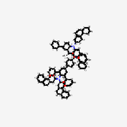 C/C=C(\C=C(/C)c1cc(-c2ccccc2)ccc1N(c1ccc2c(ccc3ccccc32)c1)c1ccc2c(ccc3ccccc32)c1)c1ccc(-c2cc(-c3ccccc3)c(N(c3ccc4c(ccc5ccccc54)c3)c3ccc4c(ccc5ccccc54)c3)c(-c3ccccc3)c2)cc1